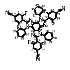 N#Cc1cc(F)c(-c2nc3c(c4nc(-c5c(F)cc(C#N)cc5F)n(-c5ccccc5)c4c4nc(-c5c(F)cc(C#N)cc5F)n(-c5ccccc5)c34)n2-c2ccccc2)c(F)c1